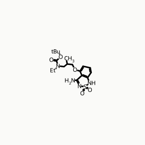 CCN(CC(C)COc1cccc2c1C(N)=NS(=O)(=O)N2)C(=O)OC(C)(C)C